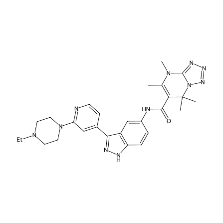 CCN1CCN(c2cc(-c3n[nH]c4ccc(NC(=O)C5=C(C)N(C)c6nnnn6C5(C)C)cc34)ccn2)CC1